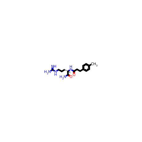 Cc1ccc(CCC(=O)N[C@@H](CCCNC(=N)N)C(N)=O)cc1